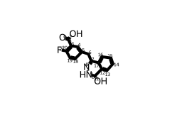 O=C(O)c1cc(CC2=NNC(O)c3ccccc32)ccc1F